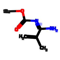 C=C(C)/C(N)=N\C(=O)OC(C)(C)C